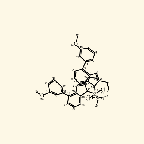 CCC1=Cc2c(-c3cccc(OC)c3)cccc2[CH]1[Zr]([Cl])([Cl])([CH]1C(CC)=Cc2c(-c3cccc(OC)c3)cccc21)[SiH](C)C